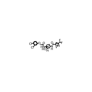 Cn1nc(C(F)F)cc1C(=O)NC12CCC(NC(=O)COc3ccc(Cl)c(Cl)c3)(CC1)[C@@H](O)C2